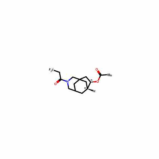 CC(C)(C)C(=O)O[C@@H]1CC23CC(C[C@@H]1C2)CN(C(=O)CC(F)(F)F)C3